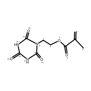 C=C(C)C(=O)OCCn1c(=O)[nH]c(=O)[nH]c1=O